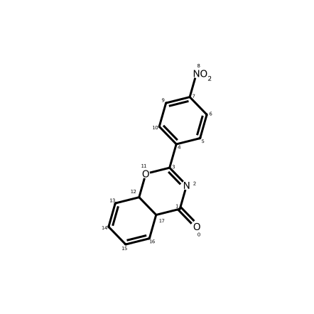 O=C1N=C(c2ccc([N+](=O)[O-])cc2)OC2C=CC=CC12